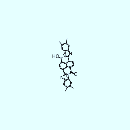 Cc1cc2nc3n(c2cc1C)C(O)c1ccc2c4c1c-3ccc4c(=O)n1c3cc(C)c(C)cc3nc21